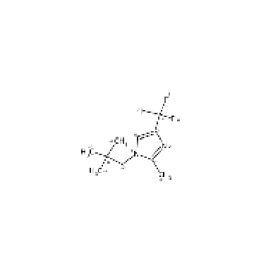 Cc1nc(C(F)(F)F)cn1CC(C)(C)C